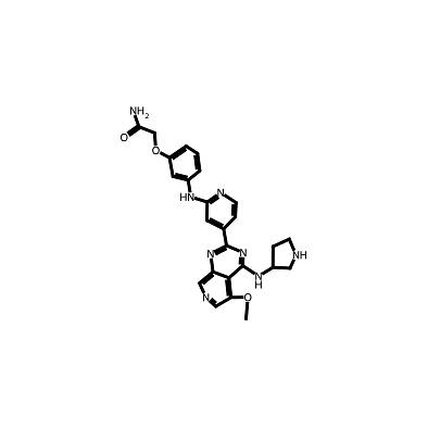 COc1cncc2nc(-c3ccnc(Nc4cccc(OCC(N)=O)c4)c3)nc(NC3CCNC3)c12